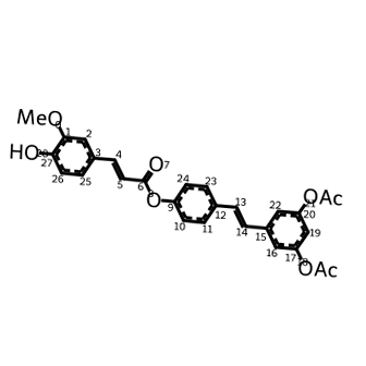 COc1cc(/C=C/C(=O)Oc2ccc(/C=C/c3cc(OC(C)=O)cc(OC(C)=O)c3)cc2)ccc1O